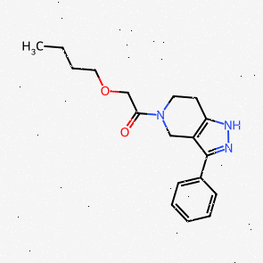 CCCCOCC(=O)N1CCc2[nH]nc(-c3ccccc3)c2C1